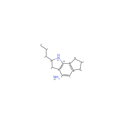 CCCC1Cc2ccc3c(c2N1)CCC3.N